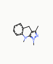 Cc1nn(C)c2c1Cc1ccccc1N2C